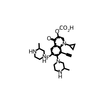 C#Cc1c(N2CCNC(C)C2)c(F)cc2c(=O)c(OC(=O)O)cn(C3CC3)c12.CC1CNCCN1